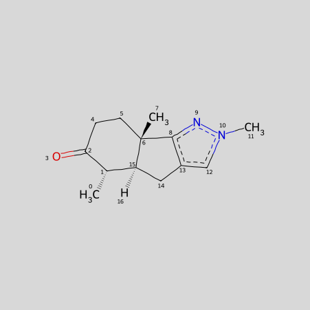 C[C@@H]1C(=O)CC[C@]2(C)c3nn(C)cc3C[C@@H]12